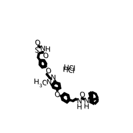 Cl.Cl.Cn1c(COc2ccc(CC3SC(=O)NC3=O)cc2)nc2ccc(Oc3ccc(CCNC(=O)NC45CC6CC(CC(C6)C4)C5)cc3)cc21